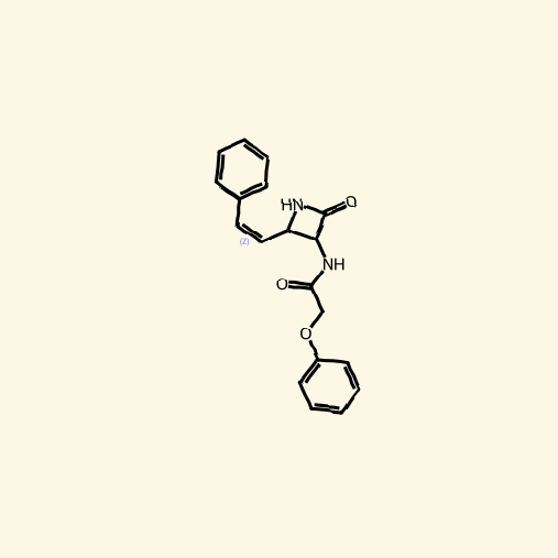 O=C(COc1ccccc1)NC1C(=O)NC1/C=C\c1ccccc1